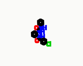 O=C(Nc1ccccc1)Nc1ccccc1NC(=O)c1ccc(Cl)cc1